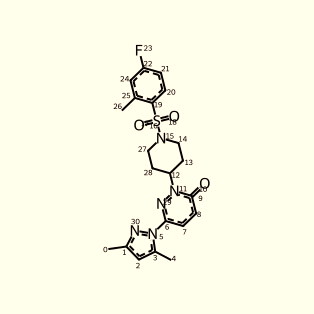 Cc1cc(C)n(-c2ccc(=O)n(C3CCN(S(=O)(=O)c4ccc(F)cc4C)CC3)n2)n1